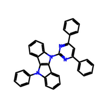 c1ccc(-c2cc(-c3ccccc3)nc(-n3c4ccccc4c4c3c3ccccc3n4-c3ccccc3)n2)cc1